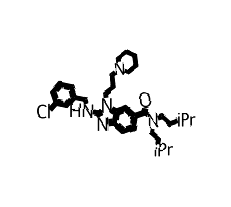 CC(C)CCN(CCC(C)C)C(=O)c1ccc2nc(NCc3cccc(Cl)c3)n(CCCN3CCCCC3)c2c1